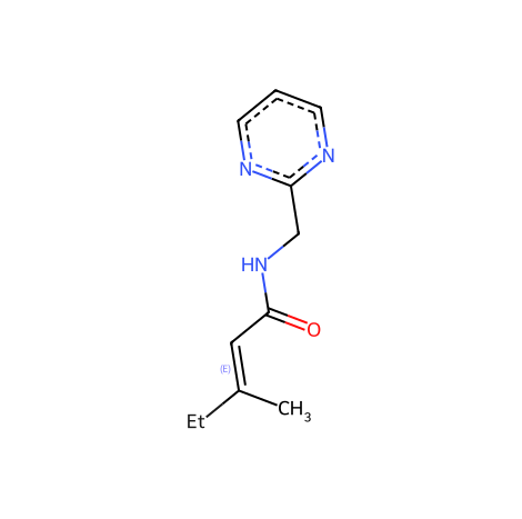 CC/C(C)=C/C(=O)NCc1ncccn1